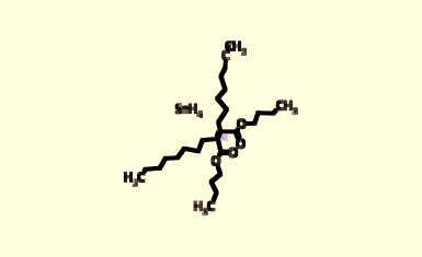 CCCCCCCC/C(C(=O)OCCCC)=C(\CCCCCCCC)C(=O)OCCCC.[SnH4]